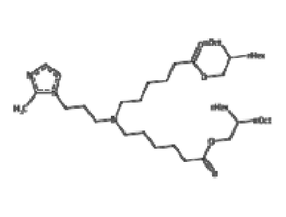 CCCCCCCCC(CCCCCC)COC(=O)CCCCCN(CCCCCC(=O)OCC(CCCCCC)CCCCCCCC)CCCn1ccnc1C